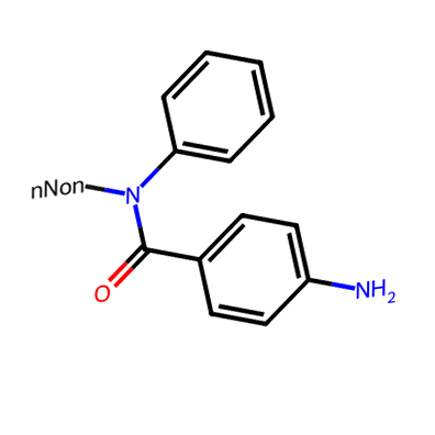 CCCCCCCCCN(C(=O)c1ccc(N)cc1)c1ccccc1